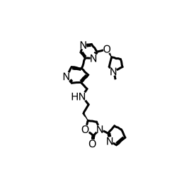 CN1CC[C@H](Oc2cncc(-c3cncc(CNCC[C@H]4CN(C5=NC=CCC5)C(=O)O4)c3)n2)C1